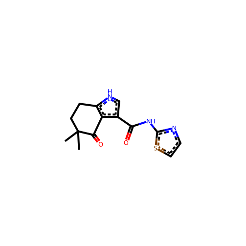 CC1(C)CCc2[nH]cc(C(=O)Nc3nccs3)c2C1=O